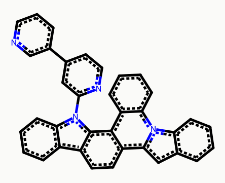 c1cncc(-c2ccnc(-n3c4ccccc4c4ccc5c(c6ccccc6n6c7ccccc7cc56)c43)c2)c1